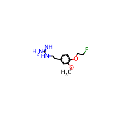 COc1cc(CCNC(=N)N)ccc1OCCF